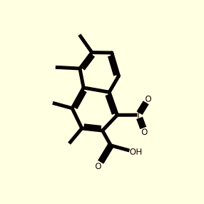 Cc1ccc2c(I(=O)=O)c(C(=O)O)c(C)c(C)c2c1C